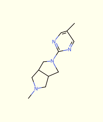 Cc1cnc(N2CC3CN(C)CC3C2)nc1